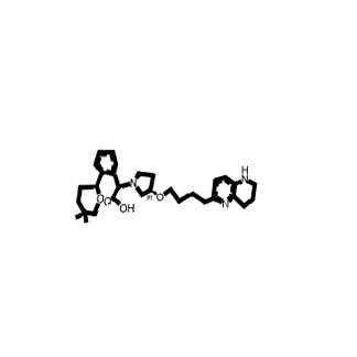 CC1(C)CCC(c2ccccc2C(C(=O)O)N2CC[C@@H](OCCCCc3ccc4c(n3)CCCN4)C2)OC1